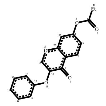 CCC(=O)Oc1ccc2c(=O)c(Oc3ccccc3)coc2c1